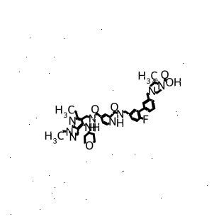 CCc1nc2c(cnn2CC)c(NC2CCOCC2)c1CNC(=O)c1ccnc(C(=O)NCc2ccc(F)c(-c3cccc(CN4CCN(C(=O)O)[C@@H](C)C4)c3)c2)c1